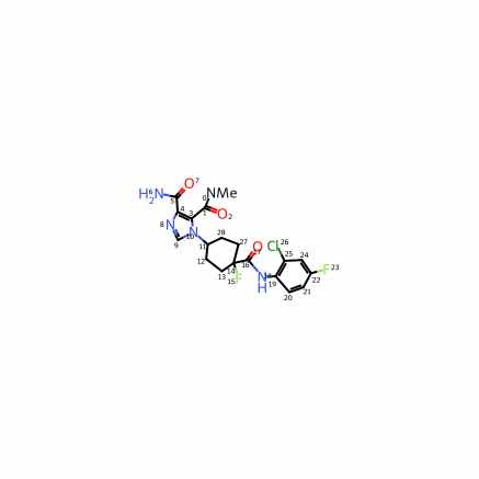 CNC(=O)c1c(C(N)=O)ncn1C1CCC(F)(C(=O)Nc2ccc(F)cc2Cl)CC1